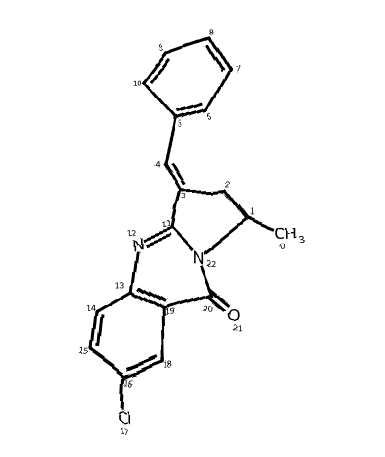 CC1CC(=Cc2ccccc2)c2nc3ccc(Cl)cc3c(=O)n21